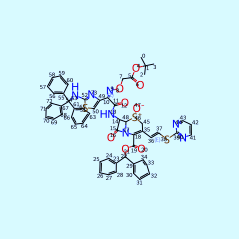 CC(C)(C)OC(=O)CO/N=C(\C(=O)NC1C(=O)N2C(C(=O)OC(c3ccccc3)c3ccccc3)=C(/C=C/Sc3ncccn3)C[S+]([O-])C12)c1csc(NC(c2ccccc2)(c2ccccc2)c2ccccc2)n1